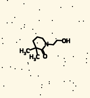 CC1(C)CCCN(CCO)C1=O